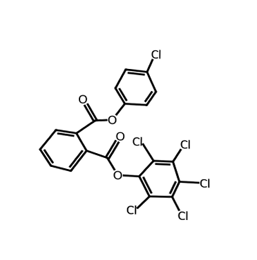 O=C(Oc1ccc(Cl)cc1)c1ccccc1C(=O)Oc1c(Cl)c(Cl)c(Cl)c(Cl)c1Cl